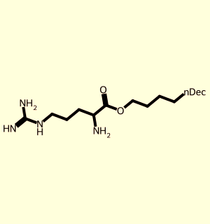 CCCCCCCCCCCCCCOC(=O)C(N)CCCNC(=N)N